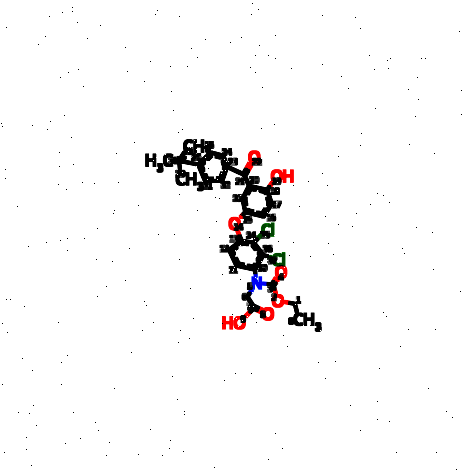 CCOC(=O)N(CC(=O)O)c1ccc(Oc2ccc(O)c(C(=O)c3ccc(C(C)(C)C)cc3)c2)c(Cl)c1Cl